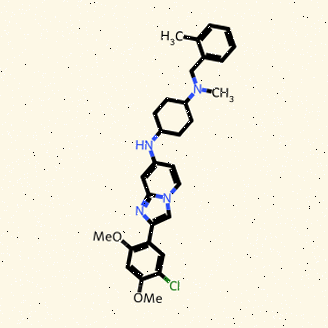 COc1cc(OC)c(-c2cn3ccc(NC4CCC(N(C)Cc5ccccc5C)CC4)cc3n2)cc1Cl